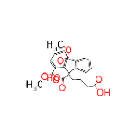 COC(=O)c1ccccc1C(CCCC(=O)O)(C(=O)O)c1ccccc1C(=O)OC